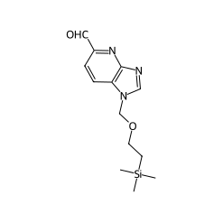 C[Si](C)(C)CCOCn1cnc2nc(C=O)ccc21